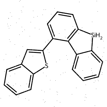 c1ccc2c(c1)[SiH2]c1cccc(-c3cc4ccccc4s3)c1-2